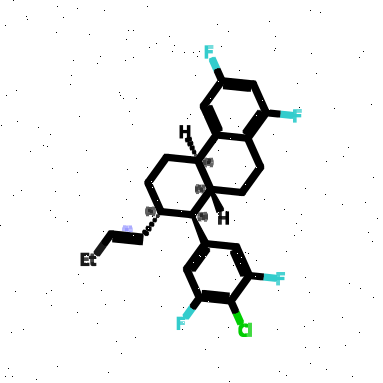 CC/C=C/[C@@H]1CC[C@H]2c3cc(F)cc(F)c3CC[C@@H]2[C@H]1c1cc(F)c(Cl)c(F)c1